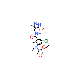 CCOC1COCC1N(CC)c1cc(Cl)cc(C(=O)NCc2c(C)nn(C)c2OC)c1C